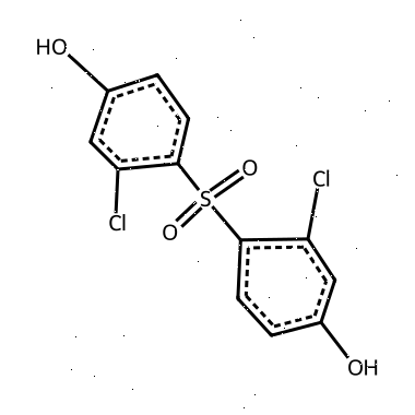 O=S(=O)(c1ccc(O)cc1Cl)c1ccc(O)cc1Cl